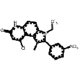 Cc1c(-c2cccc([N+](=O)[O-])c2)n(CC(F)(F)F)c2ccc3[nH]c(=O)cc(Cl)c3c12